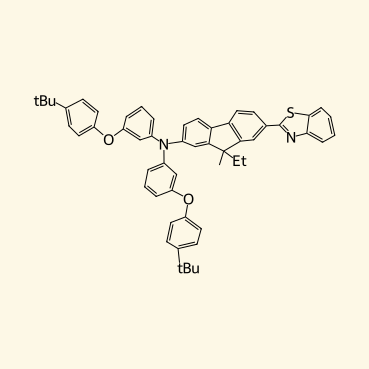 CCC1(C)c2cc(-c3nc4ccccc4s3)ccc2-c2ccc(N(c3cccc(Oc4ccc(C(C)(C)C)cc4)c3)c3cccc(Oc4ccc(C(C)(C)C)cc4)c3)cc21